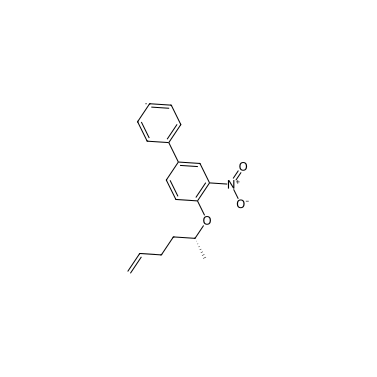 C=CCC[C@@H](C)Oc1ccc(-c2cc[c]cc2)cc1[N+](=O)[O-]